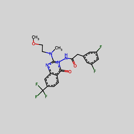 COCCN(C)c1nc2cc(C(F)(F)F)ccc2c(=O)n1NC(=O)Cc1cc(F)cc(F)c1